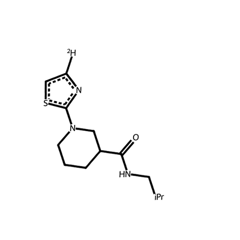 [2H]c1csc(N2CCCC(C(=O)NCC(C)C)C2)n1